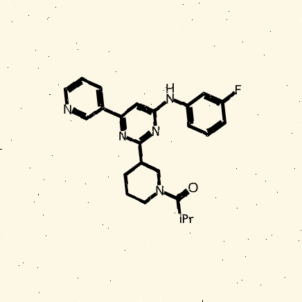 CC(C)C(=O)N1CCCC(c2nc(Nc3cccc(F)c3)cc(-c3cccnc3)n2)C1